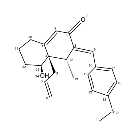 C=CC[C@@]12C(=CC(=O)/C(=C/c3ccc(SC)cc3)[C@@H]1C)CCC[C@@H]2O